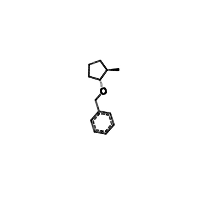 C[C@@H]1CCC[C@H]1OCc1ccccc1